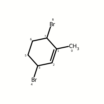 CC1=CC(Br)CCC1Br